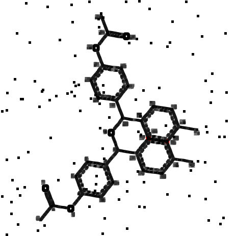 CC(=O)Oc1ccc(C(OC(c2ccc(C)cc2)c2ccc(OC(C)=O)cc2)c2ccc(C)cc2)cc1